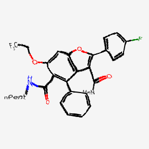 CCCCCNC(=O)c1c(OCC(F)(F)F)cc2oc(-c3ccc(F)cc3)c(C(=O)NC)c2c1-c1ccccc1